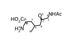 CC(=O)NCC(=O)CC(C)C[C@H](N)C(=O)O